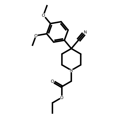 CCOC(=O)CN1CCC(C#N)(c2ccc(OC)c(OC)c2)CC1